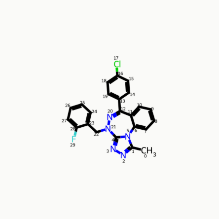 Cc1nnc2n1-c1ccccc1C(c1ccc(Cl)cc1)=NN2Cc1ccccc1F